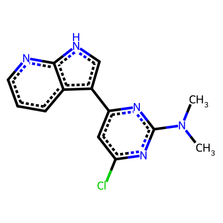 CN(C)c1nc(Cl)cc(-c2c[nH]c3ncccc23)n1